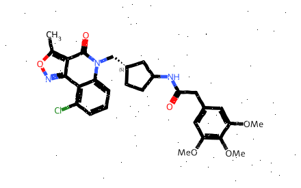 COc1cc(CC(=O)NC2CC[C@H](Cn3c(=O)c4c(C)onc4c4c(Cl)cccc43)C2)cc(OC)c1OC